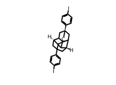 Ic1ccc(C23CC4C5C[C@]6(c7ccc(I)cc7)CC4[C@H](C2)C(C6)[C@H]5C3)cc1